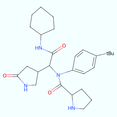 CC(C)(C)c1ccc(N(C(=O)C2CCCN2)C(C(=O)NC2CCCCC2)C2CNC(=O)C2)cc1